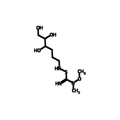 CON(C)C(=N)SNCCCC(O)C(O)CO